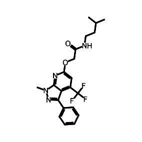 CC(C)CCNC(=O)COc1cc(C(F)(F)F)c2c(-c3ccccc3)nn(C)c2n1